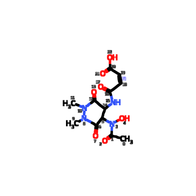 CC(=O)N(O)C1C(=O)N(C)N(C)C(=O)C1NC(=O)/C=C\C(=O)O